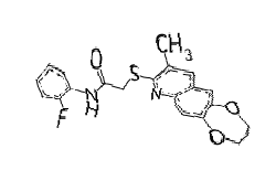 Cc1cc2cc3c(cc2nc1SCC(=O)Nc1ccccc1F)OCCO3